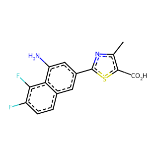 Cc1nc(-c2cc(N)c3c(F)c(F)ccc3c2)sc1C(=O)O